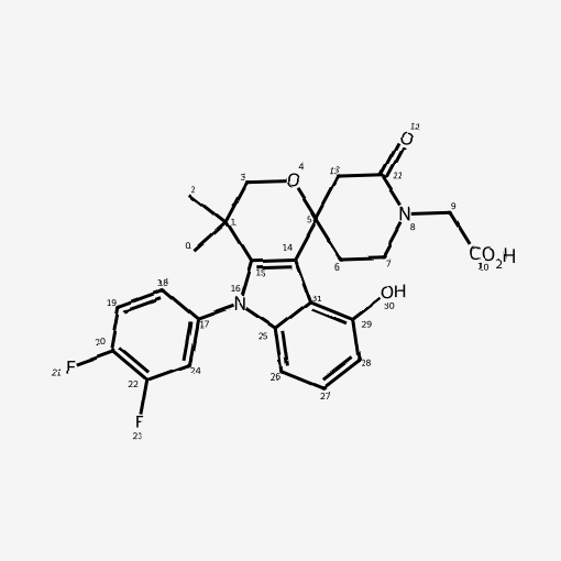 CC1(C)COC2(CCN(CC(=O)O)C(=O)C2)c2c1n(-c1ccc(F)c(F)c1)c1cccc(O)c21